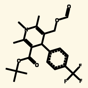 CC1=C(COC=O)C(c2ccc(C(F)(F)F)cc2)C(C(=O)OC(C)(C)C)=C(C)N1C